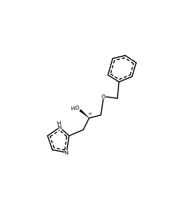 O[C@@H](COCc1ccccc1)Cc1ncc[nH]1